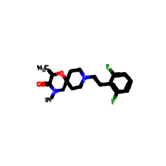 CC1OC2(CCN(CCc3c(F)cccc3F)CC2)CN(C(C)C)C1=O